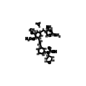 C1CC1.COc1cc(Cc2cnc(N)nc2N)cc(C#Cc2cccc(N(C(=O)O)C3CCOCC3)c2)c1OC